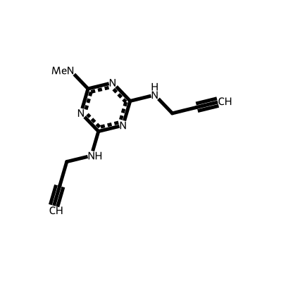 C#CCNc1nc(NC)nc(NCC#C)n1